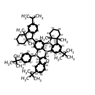 CC(C)c1ccc2c(c1)C1(C)CCCCC1(C)C2c1cc2c3c(c1)N1c4c(cc(C(C)(C)C)cc4C4(C)CCCCC14C)B3c1oc3ccc(C(C)(C)C)cc3c1N2c1ccc(C(C)(C)C)cc1